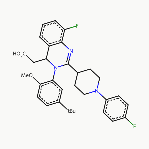 COc1ccc(C(C)(C)C)cc1N1C(C2CCN(c3ccc(F)cc3)CC2)=Nc2c(F)cccc2C1CC(=O)O